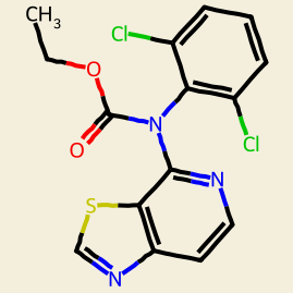 CCOC(=O)N(c1c(Cl)cccc1Cl)c1nccc2ncsc12